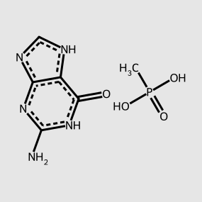 CP(=O)(O)O.Nc1nc2nc[nH]c2c(=O)[nH]1